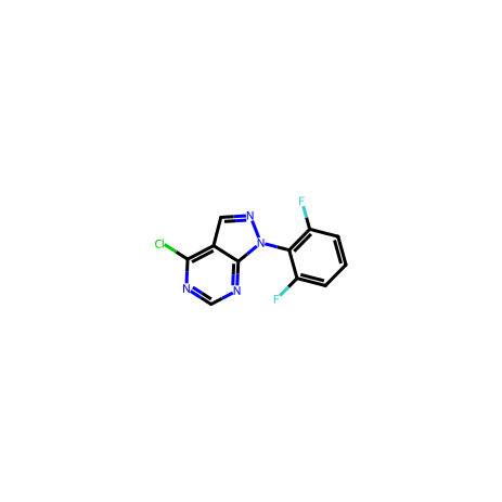 Fc1cccc(F)c1-n1ncc2c(Cl)ncnc21